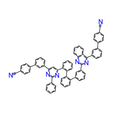 N#Cc1ccc(-c2cccc(-c3cc(-c4ccccc4-c4ccccc4-c4cccc(-c5nc(-c6cccc(-c7ccc(C#N)cc7)c6)c6ccccc6n5)c4)nc(-c4ccccc4)n3)c2)cc1